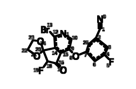 N#Cc1cc(F)cc(Oc2cnc(Br)c3c2C(=O)C(F)C32OCCO2)c1